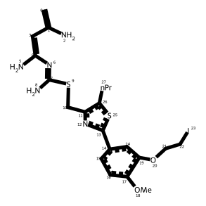 C=C(N)/C=C(N)\N=C(/N)SCc1nc(-c2ccc(OC)c(OCCI)c2)sc1CCC